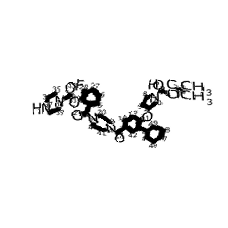 CC(C)(C)OC(=O)N1CC[C@H](Oc2ccc(C(=O)N3CCN(C(=O)c4cccc(F)c4OC(=O)N4CCNCC4)CC3)cc2C2CCCCC2)C1